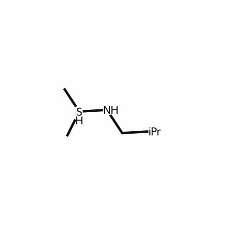 CC(C)CN[SH](C)C